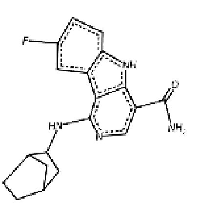 NC(=O)c1cnc(NC2CC3CCC2C3)c2c1[nH]c1ccc(F)cc12